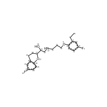 CCc1cc(F)ccc1OCCCNCC(O)C1CCc2cc(F)ccc2O1